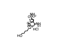 CCN[C@H]1CN(CCCCCCO)S(=O)(=O)c2sc(S(N)(=O)=O)cc21.Cl